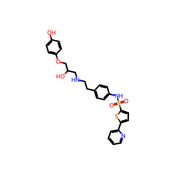 O=S(=O)(Nc1ccc(CCNCC(O)COc2ccc(O)cc2)cc1)c1ccc(-c2ccccn2)s1